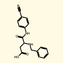 N#Cc1ccc(NC(=O)C(CC(=O)O)NCc2ccccc2)cc1